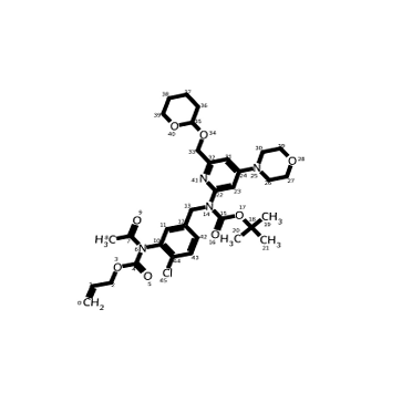 C=CCOC(=O)N(C(C)=O)c1cc(CN(C(=O)OC(C)(C)C)c2cc(N3CCOCC3)cc(COC3CCCCO3)n2)ccc1Cl